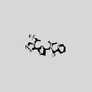 CC(n1cnnc1-c1nc(N(C(=O)c2ccccn2)N(C)C)cs1)C(F)(F)F